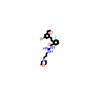 N=C(NCCCN1CCOCC1)NC(=O)c1cccc(F)c1CCc1cc(Br)cc2ccoc12